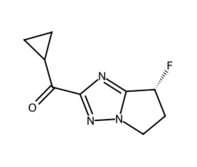 O=C(c1nc2n(n1)CC[C@H]2F)C1CC1